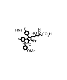 COc1cccc(NC(=O)c2c(-c3ccc(F)cc3)c(-c3ccc(F)cc3)c(CC[C@@H](O)C[C@@H](O)CC(=O)O)n2C(C)C)c1.[NaH]